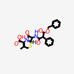 CC1=C(C(=O)O)N2C(=O)C(NC(=O)C(C(=O)OCc3ccccc3)c3ccccc3)[C@H]2SC1